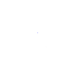 CC(C)N1CC2(CC2)C[C@H]1C